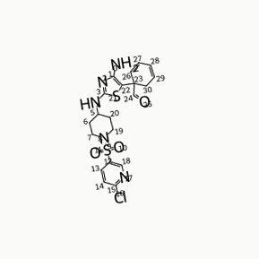 Nc1nc(NC2CCN(S(=O)(=O)c3ccc(Cl)nc3)CC2)sc1C1(C=O)C=CC=CC1